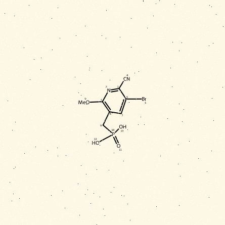 COc1nc(C#N)c(Br)cc1CP(=O)(O)O